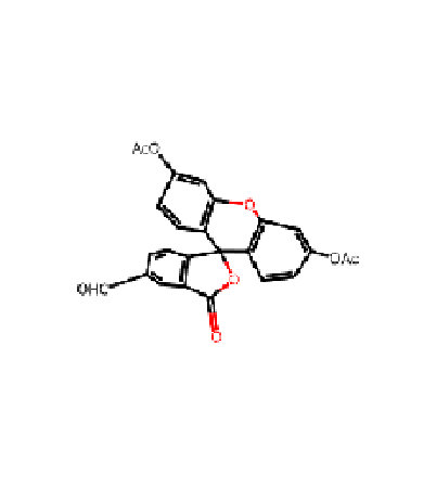 CC(=O)Oc1ccc2c(c1)Oc1cc(OC(C)=O)ccc1C21OC(=O)c2cc(C=O)ccc21